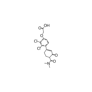 CN(C)C(=O)C1CCC(c2ccc(OCC(=O)O)c(Cl)c2Cl)=CC1=O